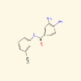 C#Cc1cccc(NC(=O)c2ccc(N)c(N)c2)c1